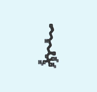 CC(C)(C)OC(=O)CCNCCC=O